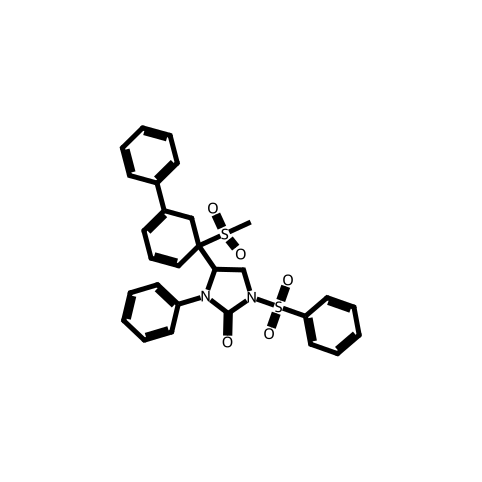 CS(=O)(=O)C1(C2CN(S(=O)(=O)c3ccccc3)C(=O)N2c2ccccc2)C=CC=C(c2ccccc2)C1